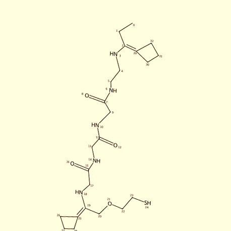 CCC(NCCNC(=O)CNC(=O)CNC(=O)CNC(COCCS)=C1CCC1)=C1CCC1